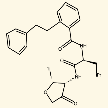 CC(C)C[C@H](NC(=O)c1ccccc1CCc1ccccc1)C(=O)N[C@@H]1C(=O)CO[C@@H]1C